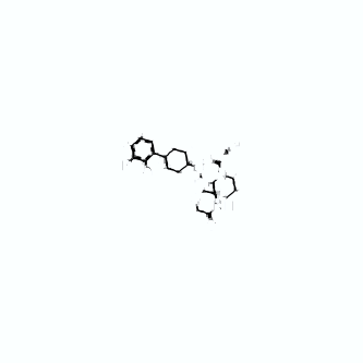 CC(C)(C)OC(=O)N1CCC[C@@]2(COCC(=O)N2)[C@@H]1COC1CCC(c2cccc(F)c2O)CC1